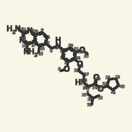 COc1cc(NCc2ccc3nc(N)nc(N)c3c2C)cc(OC)c1OCCN[C@@H](CC(C)C)C(=O)OC1CCCC1